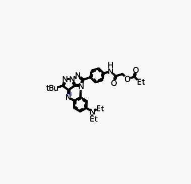 CCC(=O)OCC(=O)Nc1ccc(-c2nc3n(n2)N=C(C(C)(C)C)/C3=N/c2ccc(N(CC)CC)cc2C)cc1